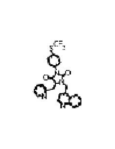 O=C1C(Cc2ccccn2)N(Cc2ccnc3ccccc23)C(=O)N1c1ccc(SC(F)(F)F)cc1